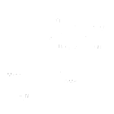 COc1cc(OC(C)(C)CC(C)(C)C(=O)O)cc(OC)c1CN